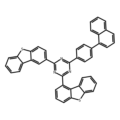 c1ccc2c(-c3ccc(-c4nc(-c5ccc6sc7ccccc7c6c5)nc(-c5cccc6sc7ccccc7c56)n4)cc3)cccc2c1